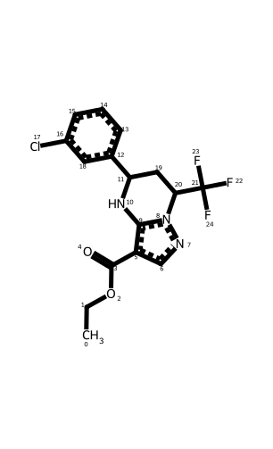 CCOC(=O)c1cnn2c1NC(c1cccc(Cl)c1)CC2C(F)(F)F